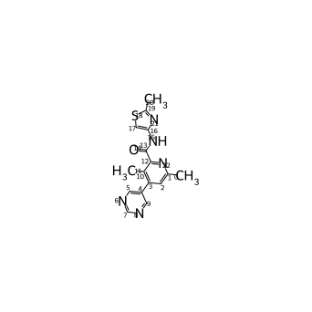 Cc1cc(-c2cncnc2)c(C)c(C(=O)Nc2csc(C)n2)n1